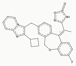 C/C(=C1/c2ccc(Cc3c(C4CCC4)nc4ccccn34)cc2COc2cc(F)ccc21)c1noc(=O)[nH]1